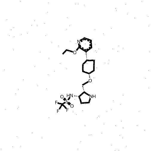 CCOc1ncccc1[C@H]1CC[C@@H](OC[C@@H]2NCC[C@@H]2NS(=O)(=O)C(F)(F)F)CC1